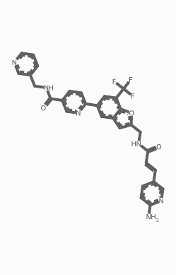 Nc1ccc(C=CC(=O)NCc2cc3cc(-c4ccc(C(=O)NCc5cccnc5)cn4)cc(C(F)(F)F)c3o2)cn1